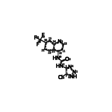 O=C(Nc1nn[nH]c1Cl)Nc1ccnc2cc(C(F)(F)F)ccc12